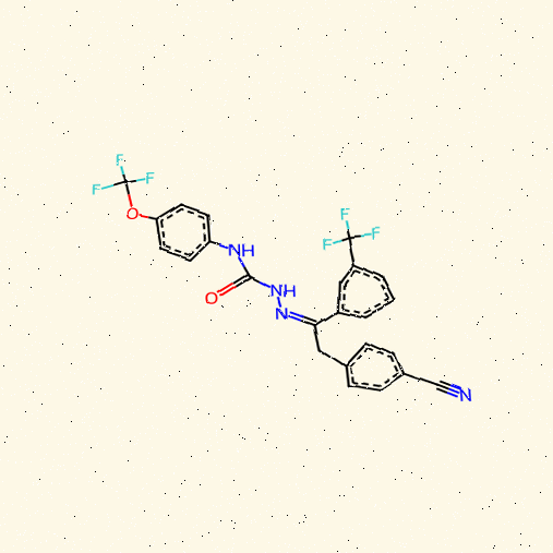 N#Cc1ccc(C/C(=N/NC(=O)Nc2ccc(OC(F)(F)F)cc2)c2cccc(C(F)(F)F)c2)cc1